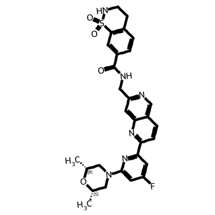 C[C@@H]1CN(c2cc(F)cc(-c3ccc4cnc(CNC(=O)c5ccc6c(c5)S(=O)(=O)NCC6)cc4n3)n2)C[C@H](C)O1